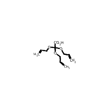 C=CCOC(OCC=C)(OCC=C)C(=O)O